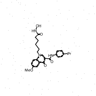 COc1ccc2c(c1)c(=O)c(C(=O)Nc1ccc(C(C)C)cc1)cn2CCCCCC(=O)NO